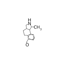 CC1NCC2CCc3c(C=O)cccc3C21